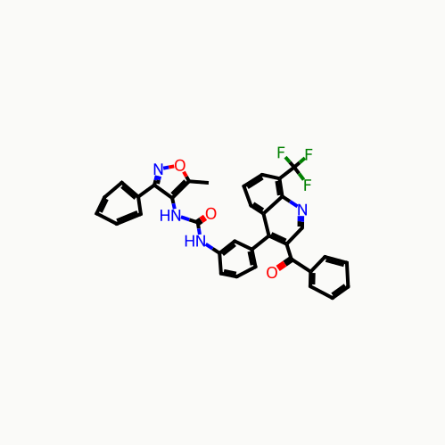 Cc1onc(-c2ccccc2)c1NC(=O)Nc1cccc(-c2c(C(=O)c3ccccc3)cnc3c(C(F)(F)F)cccc23)c1